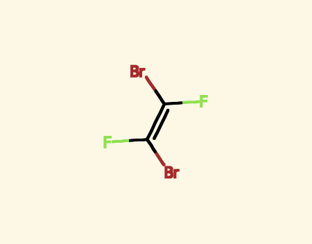 FC(Br)=C(F)Br